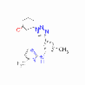 Cc1cc(Nc2nccc(C(F)(F)F)n2)cc(-c2cn(C3CCCC(=O)C3)nn2)c1